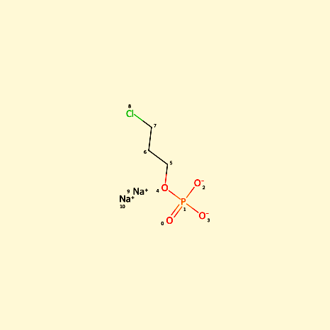 O=P([O-])([O-])OCCCCl.[Na+].[Na+]